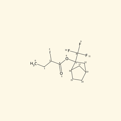 CCC(I)C(=O)OC1(C(F)(F)F)CC2CCC1C2